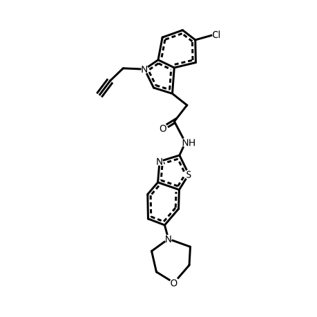 C#CCn1cc(CC(=O)Nc2nc3ccc(N4CCOCC4)cc3s2)c2cc(Cl)ccc21